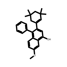 COc1ccc2c(-c3ccccc3)c(C3=CC(C)(C)CC(C)(C)C3)cc(O)c2c1